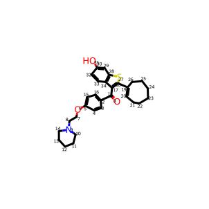 O=C(c1ccc(OCCN2CCCCC2)cc1)c1c(C2=CCCCCCC2)sc2cc(O)ccc12